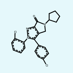 O=C1c2nn(-c3ccccc3Cl)c(-c3ccc(Cl)cc3)c2CN1C1CCCC1